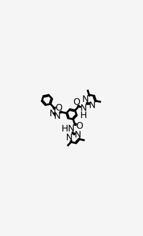 Cc1cc(C)nc(NC(=O)c2cc(C(=O)Nc3nc(C)cc(C)n3)cc(-c3nnc(-c4ccccc4)o3)c2)n1